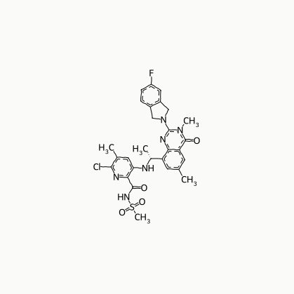 Cc1cc([C@@H](C)Nc2cc(C)c(Cl)nc2C(=O)NS(C)(=O)=O)c2nc(N3Cc4ccc(F)cc4C3)n(C)c(=O)c2c1